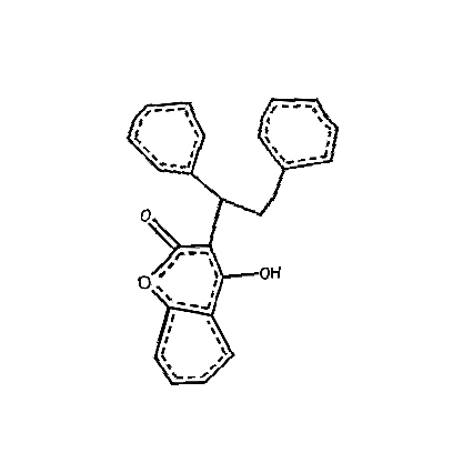 O=c1oc2ccccc2c(O)c1C(Cc1ccccc1)c1ccccc1